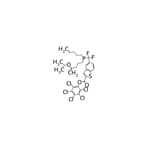 C=CCCCP(CCCC(=C)OC(C)C)C(F)(F)c1ccc2sc(C(=O)Oc3c(Cl)c(Cl)c(Cl)c(Cl)c3Cl)cc2c1